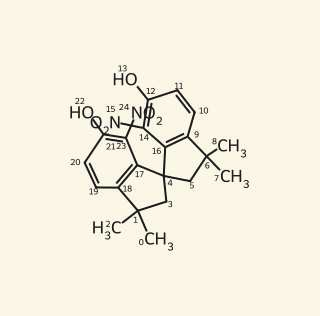 CC1(C)CC2(CC(C)(C)c3ccc(O)c([N+](=O)[O-])c32)c2c1ccc(O)c2[N+](=O)[O-]